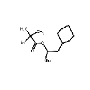 CCC(C)(C)C(=O)OC(CC1CCCCC1)C(C)(C)C